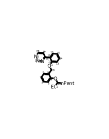 CCCCCC(CC)Oc1ccccc1COc1ccccc1-c1ccnnn1